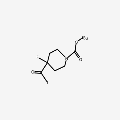 CC(C)(C)OC(=O)N1CCC(F)(C(=O)I)CC1